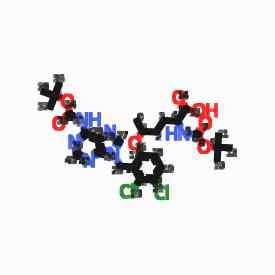 CC(CCC(NC(=O)OC(C)(C)C)C(=O)O)Oc1ccc(Cl)c(Cl)c1Cn1cnc2c(NC(=O)OC(C)(C)C)ncnc21